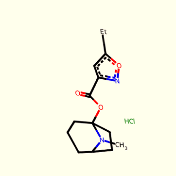 CCc1cc(C(=O)OC23CCCC(CC2)N3C)no1.Cl